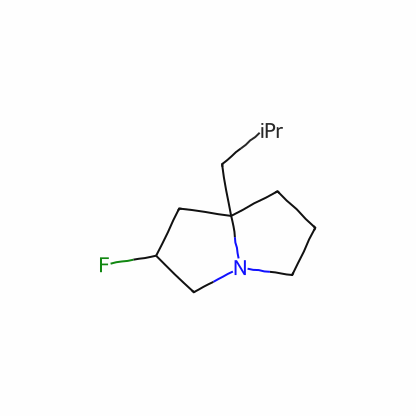 CC(C)CC12CCCN1CC(F)C2